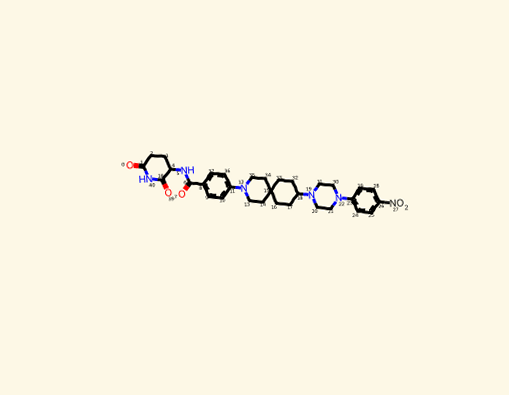 O=C1CCC(NC(=O)c2ccc(N3CCC4(CCC(N5CCN(c6ccc([N+](=O)[O-])cc6)CC5)CC4)CC3)cc2)C(=O)N1